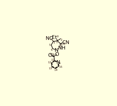 CCC1(C)C(C#N)CCN(OC(=O)c2ccccn2)NC1C#N